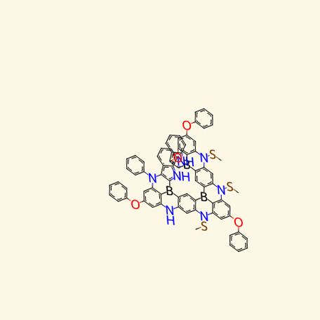 CSN1c2cc3c(cc2B2c4[nH]c5ccccc5c4Oc4cc(Oc5ccccc5)cc1c42)B1c2cc4c(cc2N(SC)c2cc(Oc5ccccc5)cc(c21)N3SC)Nc1cc(Oc2ccccc2)cc2c1B4c1[nH]c3ccccc3c1N2c1ccccc1